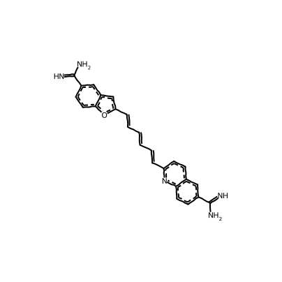 N=C(N)c1ccc2nc(/C=C/C=C/C=C/c3cc4cc(C(=N)N)ccc4o3)ccc2c1